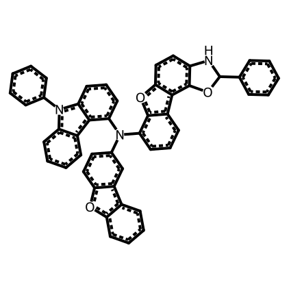 c1ccc(C2Nc3ccc4oc5c(N(c6ccc7oc8ccccc8c7c6)c6cccc7c6c6ccccc6n7-c6ccccc6)cccc5c4c3O2)cc1